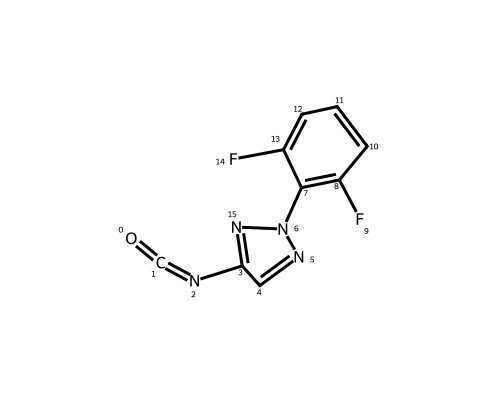 O=C=Nc1cnn(-c2c(F)cccc2F)n1